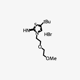 Br.COCCOCCn1cc(C(C)(C)C)sc1=N